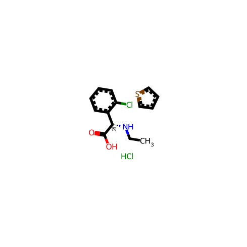 CCN[C@H](C(=O)O)c1ccccc1Cl.Cl.c1ccsc1